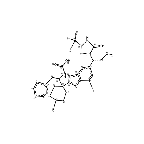 COC[C@H](c1cc(F)c2oc(C3(C(Cc4ccccc4)NC(=O)O)CCC(F)CC3)nc2c1)N1C[C@@H](C(F)(F)F)NC1=O